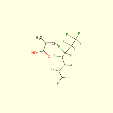 C=C(C)C(=O)O.FC(F)C(F)C(F)C(F)C(F)(F)C(F)(F)C(F)(F)F